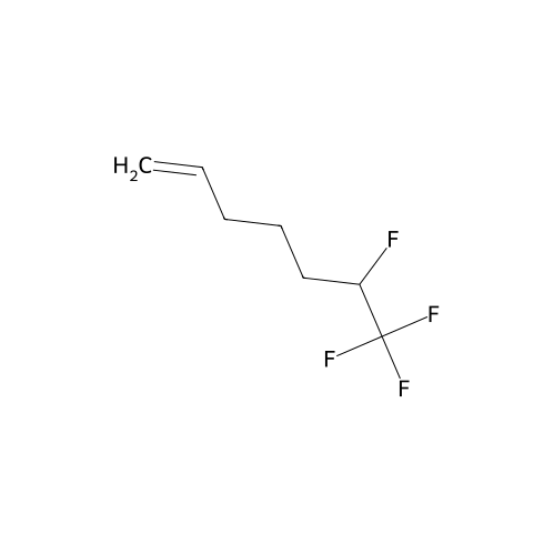 C=CCCCC(F)C(F)(F)F